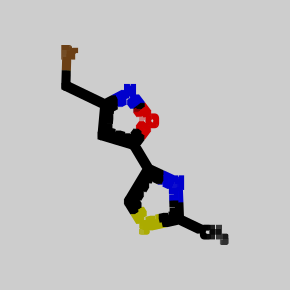 Cc1nc(-c2cc(CBr)no2)cs1